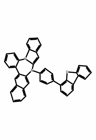 c1ccc2c(c1)-c1cc3ccccc3cc1N(c1ccc(-c3cccc4c3oc3ccccc34)cc1)c1cc3ccccc3n1-2